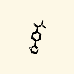 CN(C)C(=O)c1ccc(-c2ncc[nH]2)cc1